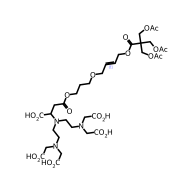 CC(=O)OCC(COC(C)=O)(COC(C)=O)C(=O)OC/C=C/COCCCOC(=O)CC(C(=O)O)N(CCN(CC(=O)O)CC(=O)O)CCN(CC(=O)O)CC(=O)O